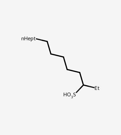 CCCCCCCCCCCCC(CC)S(=O)(=O)O